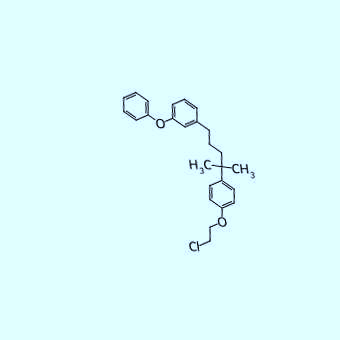 CC(C)(CCCc1cccc(Oc2ccccc2)c1)c1ccc(OCCCl)cc1